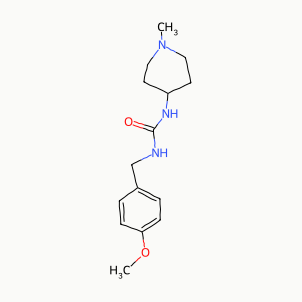 COc1ccc(CNC(=O)NC2CCN(C)CC2)cc1